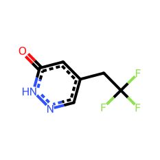 O=c1cc(CC(F)(F)F)cn[nH]1